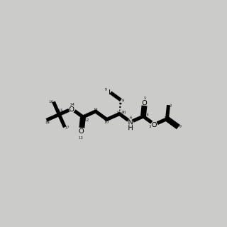 C=C(C)OC(=O)N[C@@H](CI)CCC(=O)OC(C)(C)C